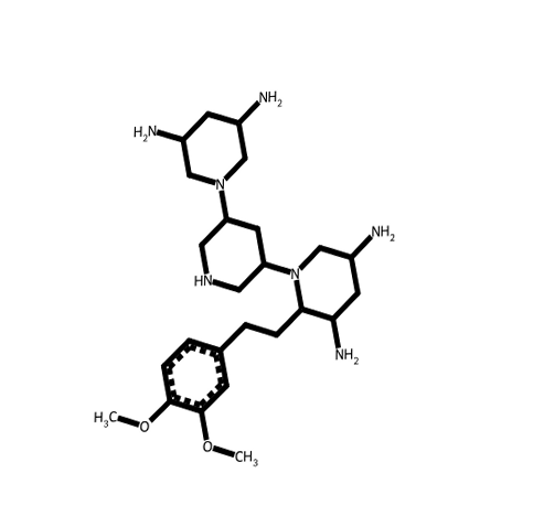 COc1ccc(CCC2C(N)CC(N)CN2C2CNCC(N3CC(N)CC(N)C3)C2)cc1OC